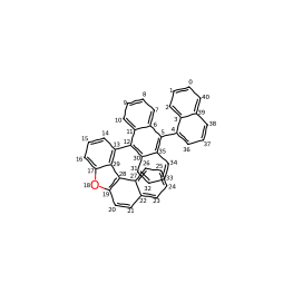 c1ccc2c(-c3c4ccccc4c(-c4cccc5oc6ccc7ccccc7c6c45)c4ccccc34)cccc2c1